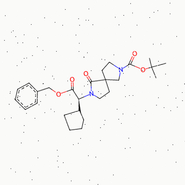 CC(C)(C)OC(=O)N1CCC2(CCN([C@H](C(=O)OCc3ccccc3)C3CCCC3)C2=O)C1